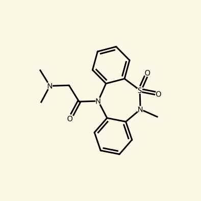 CN(C)CC(=O)N1c2ccccc2N(C)S(=O)(=O)c2ccccc21